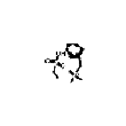 CCS(=O)(=O)O.C[N+](C)(C)Cc1ccccc1